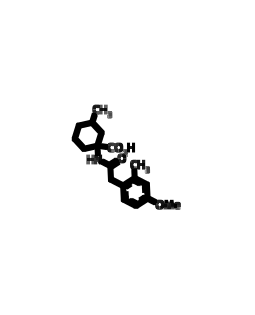 COc1ccc(CC(=O)NC2(C(=O)O)CCCC(C)C2)c(C)c1